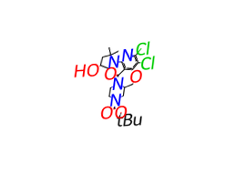 CC(C)(C)OC(=O)N1CCN2C(=O)c3c(N4CC(O)CC4(C)C)nc(Cl)c(Cl)c3OCC2C1